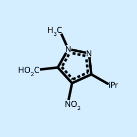 CC(C)c1nn(C)c(C(=O)O)c1[N+](=O)[O-]